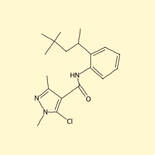 Cc1nn(C)c(Cl)c1C(=O)Nc1ccccc1C(C)CC(C)(C)C